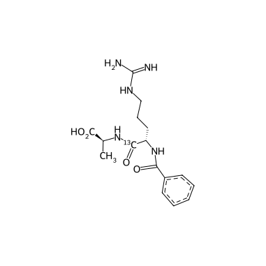 C[C@H](N[13C](=O)[C@H](CCCNC(=N)N)NC(=O)c1ccccc1)C(=O)O